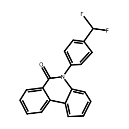 O=c1c2ccccc2c2ccccc2n1-c1ccc(C(F)F)cc1